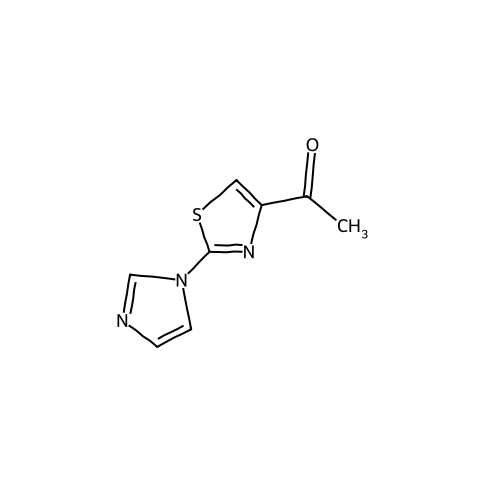 CC(=O)c1csc(-n2ccnc2)n1